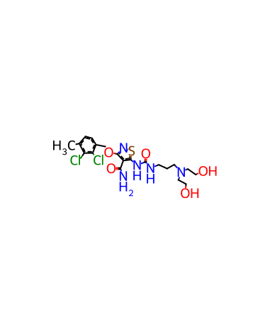 Cc1ccc(COc2nsc(NC(=O)NCCCN(CCO)CCO)c2C(N)=O)c(Cl)c1Cl